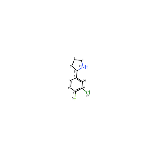 Fc1ccc(C2CCCN2)cc1Cl